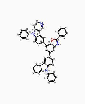 c1ccc(-c2nc3cc(-c4ccc5c(c4)c4ccccc4n5-c4ccccc4)cc(-c4ccc5c(c4)c4cnccc4n5-c4ccccc4)c3o2)cc1